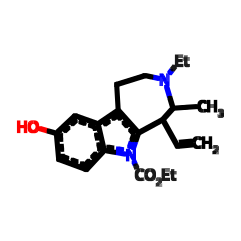 C=CC1c2c(c3cc(O)ccc3n2C(=O)OCC)CCN(CC)C1C